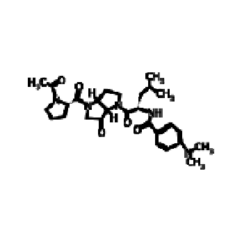 CC(=O)N1CCC[C@H]1C(=O)N1CC(=O)[C@@H]2[C@H]1CCN2C(=O)[C@H](CC(C)C)NC(=O)c1ccc(N(C)C)cc1